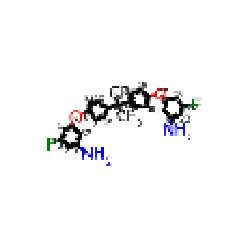 Nc1cc(F)cc(Oc2ccc(C(c3ccc(Oc4cc(N)cc(F)c4)cc3)(C(F)(F)F)C(F)(F)F)cc2)c1